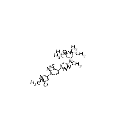 CN(c1ccc(-c2ccc(-c3cnn(C)c(=O)c3)c3ncsc23)nn1)C1CC(C)(C)NC(C)(C)C1